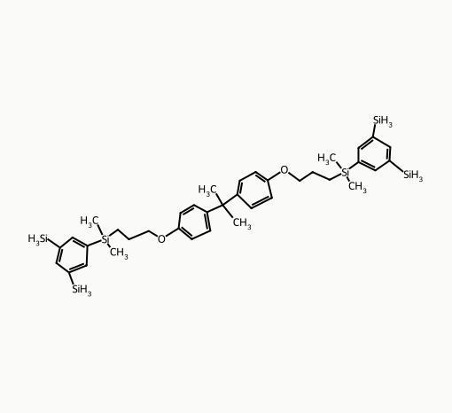 CC(C)(c1ccc(OCCC[Si](C)(C)c2cc([SiH3])cc([SiH3])c2)cc1)c1ccc(OCCC[Si](C)(C)c2cc([SiH3])cc([SiH3])c2)cc1